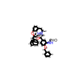 C[C@H](Cc1cccc(OCCC23CC4CC(CC(C4)C2)C3)c1)NC[C@H](O[Si](C)(C)C(C)(C)C)c1ccc(OCc2ccccc2)c(NC=O)c1